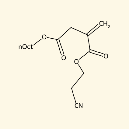 C=C(CC(=O)OCCCCCCCC)C(=O)OCCC#N